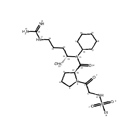 CCS(=O)(=O)NCC(=O)N1CCC[C@H]1C(=O)N(C1CCCCC1)[C@H](C=O)CCCNC(=N)N